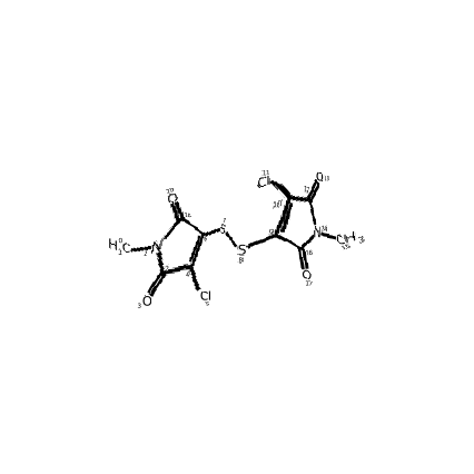 CN1C(=O)C(Cl)=C(SSC2=C(Cl)C(=O)N(C)C2=O)C1=O